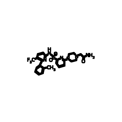 Cc1ccccc1-c1nc(NS(=O)(=O)c2cccc(N3CCN(CC(N)=O)CC3)n2)ccc1C(F)(F)F